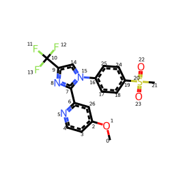 COc1ccnc(-c2nc(C(F)(F)F)cn2-c2ccc(S(C)(=O)=O)cc2)c1